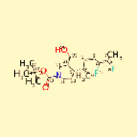 C=C(/C=C\C(F)=C(/C)F)[C@@H]1CCN(C(=O)OC(C)(C)C)C[C@H]1CO